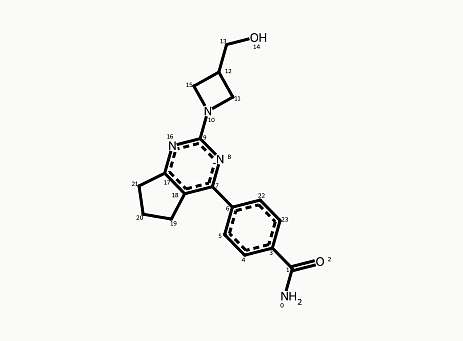 NC(=O)c1ccc(-c2nc(N3CC(CO)C3)nc3c2CCC3)cc1